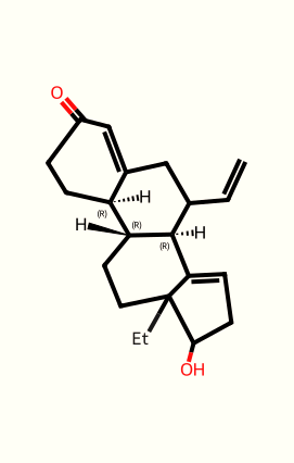 C=CC1CC2=CC(=O)CC[C@@H]2[C@H]2CCC3(CC)C(=CCC3O)[C@H]12